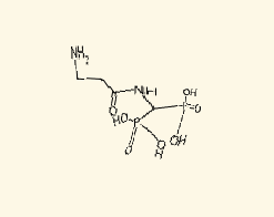 NCCC(=O)NC(P(=O)(O)O)P(=O)(O)O